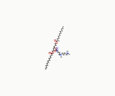 CCCCCCCCCCCCC(=O)OCCCC(CCCOC(=O)CCCCCCCCCCCC)OC(=O)NCCCN(C)CCCCN(C)C